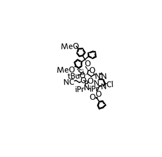 COc1ccc(C(OC[C@H]2O[C@@H](n3cnc4c(Cl)nc(COC(=O)c5ccccc5)nc43)[C@H](OP(OCCC#N)N(C(C)C)C(C)C)[C@@H]2O[Si](C)(C)C(C)(C)C)(c2ccccc2)c2ccc(OC)cc2)cc1